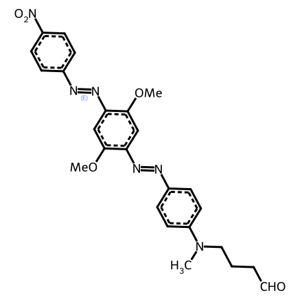 COc1cc(/N=N/c2ccc([N+](=O)[O-])cc2)c(OC)cc1N=Nc1ccc(N(C)CCCC=O)cc1